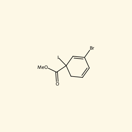 COC(=O)C1(I)C=C(Br)C=CC1